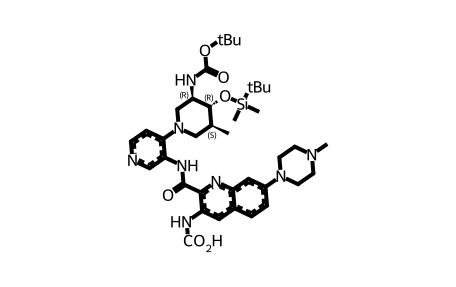 C[C@H]1CN(c2ccncc2NC(=O)c2nc3cc(N4CCN(C)CC4)ccc3cc2NC(=O)O)C[C@@H](NC(=O)OC(C)(C)C)[C@@H]1O[Si](C)(C)C(C)(C)C